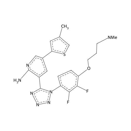 CNCCCOc1ccc(-n2nnnc2-c2cc(-c3cc(C)cs3)cnc2N)c(F)c1F